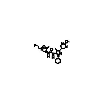 COc1ncc(-c2nn(-c3ccccc3)c(NC(=O)N[C@@H]3CN(CCF)O[C@H]3C)c2C)cn1